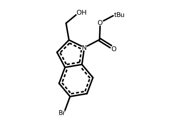 CC(C)(C)OC(=O)n1c(CO)cc2cc(Br)ccc21